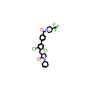 O=C(c1ccc(-c2cc(Cl)c(CC3CCN(C4CC=CCC4)C3=O)c(Cl)c2)cc1)N1CCC(C(F)(F)F)CC1